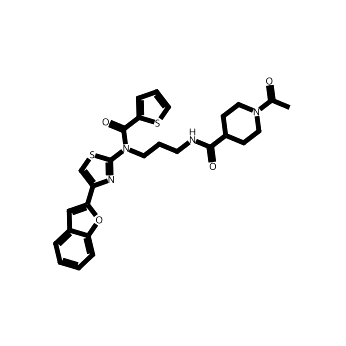 CC(=O)N1CCC(C(=O)NCCCN(C(=O)c2cccs2)c2nc(-c3cc4ccccc4o3)cs2)CC1